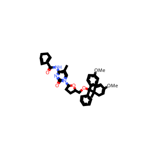 COC1=CCC(C)(C(OCC2CCC(n3cc(C)c(NC(=O)C4=CCCC=C4)nc3=O)O2)(c2ccccc2)c2ccc(OC)cc2)C=C1